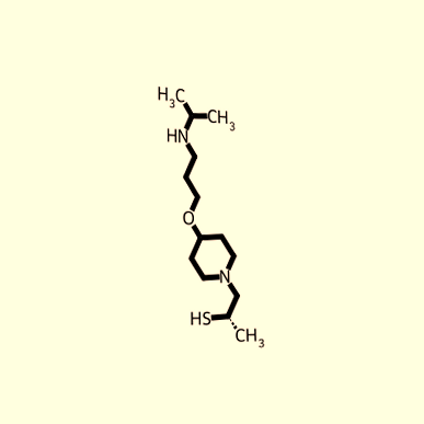 CC(C)NCCCOC1CCN(C[C@H](C)S)CC1